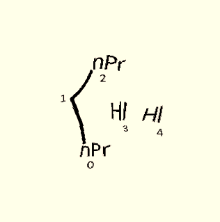 CCCCCCC.I.I